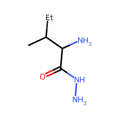 CCC(C)C(N)C(=O)NN